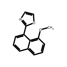 COc1cccc2cccc(-c3ncco3)c12